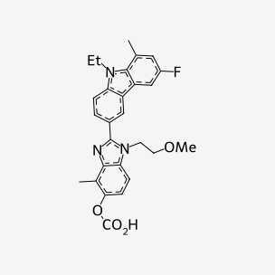 CCn1c2ccc(-c3nc4c(C)c(OC(=O)O)ccc4n3CCOC)cc2c2cc(F)cc(C)c21